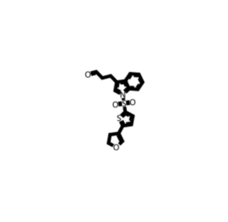 O=CCCc1cn(S(=O)(=O)c2ccc(C3=COCC3)s2)c2ccccc12